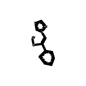 CC(C)OC(=Cn1cncn1)c1ccccc1